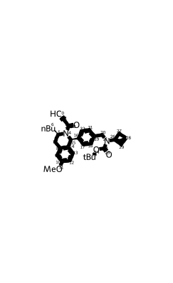 C#CC(=O)N1[C@@H](CCCC)Cc2cc(OC)ccc2[C@@H]1c1ccc(CN(C(=O)OC(C)(C)C)C23CC(C2)C3)cc1